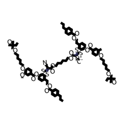 [C-]#[N+]/C(C(=O)OCCCCCCOC(=O)/C(C#N)=C1\Sc2c(CCOC(=O)c3ccc(CCC)cc3)ccc(OC(=O)c3ccc(OCCCCCCOCC4(CC)COC4)c(OC)c3)c2S1)=C1/Sc2c(CCOC(=O)c3ccc(CCC)cc3)ccc(OC(=O)c3ccc(OCCCCCCOCC4(CC)COC4)c(C)c3)c2S1